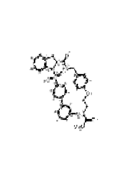 COC(=O)CCCOc1ccc(CNC(=O)[C@@H]2Cc3ccccc3N2S(=O)(=O)c2ccc(-c3cccc(C(F)(F)F)c3)cc2)cc1